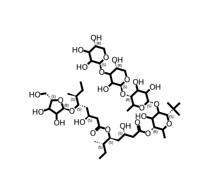 CC[C@H](C)[C@H](C[C@H](O)CC(=O)O[C@H]1C(C)O[C@@H](C(C)(C)C)C(O[C@@H]2OC(C)[C@H](O[C@@H]3OC[C@@H](O)C(O[C@@H]4OC[C@@H](O)C(O)C4O)C3O)C(O)C2O)C1O)OC(=O)C[C@@H](O)C[C@H](O[C@@H]1O[C@@H](CO)C(O)C1O)[C@@H](C)CC